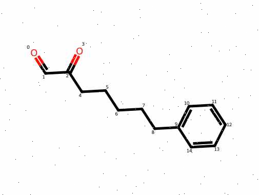 O=CC(=O)CCCCCc1ccccc1